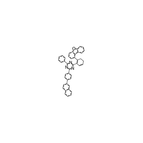 C1=CC(c2nc(-c3ccccc3)nc(-c3ccc(-c4ccc5ccccc5c4)cc3)n2)=C(c2cccc3oc4ccccc4c23)CC1